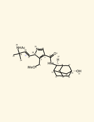 COCc1c(C(=O)N[C@H]2C3CC4CC2C[C@](O)(C4)C3)cnn1/C=C/C(C)(C)NC(C)=O